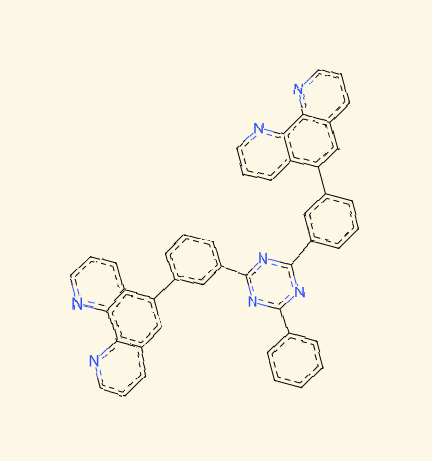 c1ccc(-c2nc(-c3cccc(-c4cc5cccnc5c5ncccc45)c3)nc(-c3cccc(-c4cc5cccnc5c5ncccc45)c3)n2)cc1